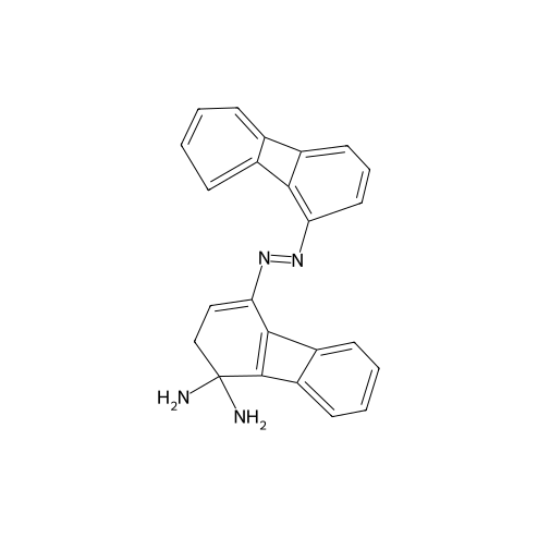 NC1(N)CC=C(N=Nc2cccc3c2-c2ccccc2-3)C2=C1c1ccccc12